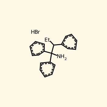 Br.CCC(c1ccccc1)C(N)(c1ccccc1)c1ccccc1